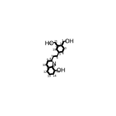 OC=c1ccc(C=Cc2ccc3cccc(O)c3n2)cc1=CO